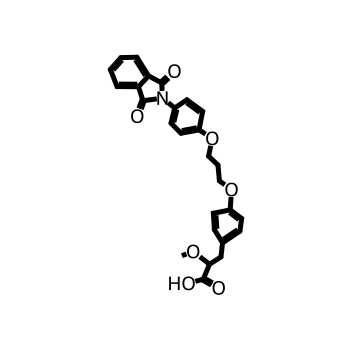 COC(Cc1ccc(OCCCOc2ccc(N3C(=O)c4ccccc4C3=O)cc2)cc1)C(=O)O